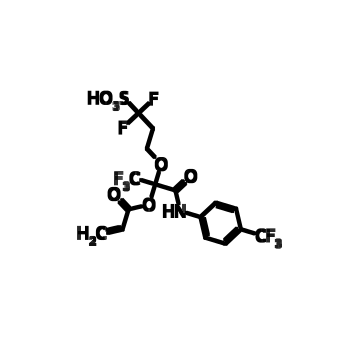 C=CC(=O)OC(OCCC(F)(F)S(=O)(=O)O)(C(=O)Nc1ccc(C(F)(F)F)cc1)C(F)(F)F